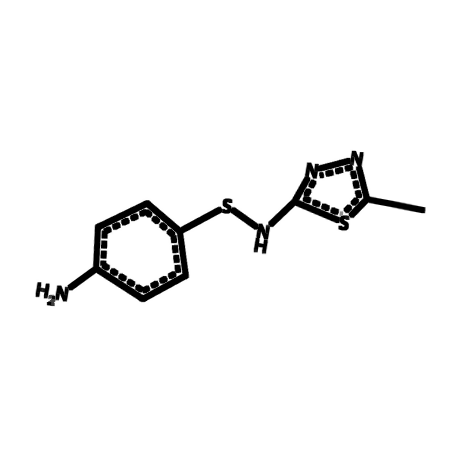 Cc1nnc(NSc2ccc(N)cc2)s1